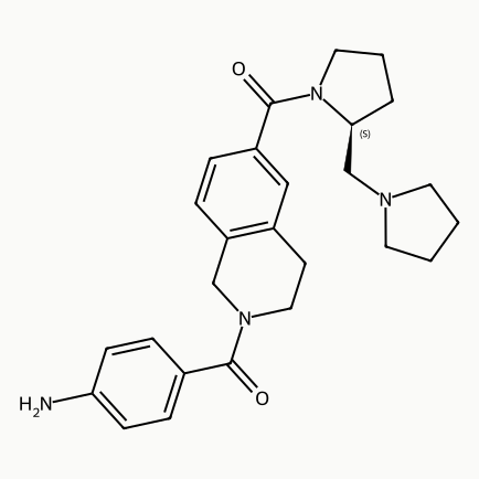 Nc1ccc(C(=O)N2CCc3cc(C(=O)N4CCC[C@H]4CN4CCCC4)ccc3C2)cc1